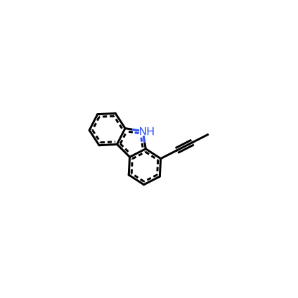 CC#Cc1cccc2c1[nH]c1ccccc12